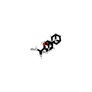 COC(=O)c1ccc(N2C3CC2CN(C(=O)OC(C)(C)C)C3)cn1